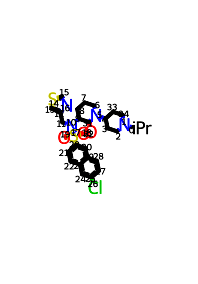 CC(C)N1CCC(N2CCCC(N(Cc3cscn3)S(=O)(=O)c3ccc4cc(Cl)ccc4c3)C2=O)CC1